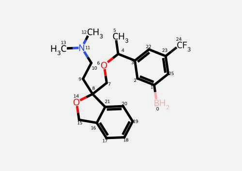 Bc1cc(C(C)OCC2(CCN(C)C)OCc3ccccc32)cc(C(F)(F)F)c1